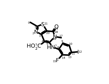 Cc1nc2c(C(=O)O)c(Nc3ccc(I)cc3F)n(C)c(=O)c2s1